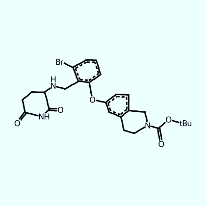 CC(C)(C)OC(=O)N1CCc2cc(Oc3cccc(Br)c3CNC3CCC(=O)NC3=O)ccc2C1